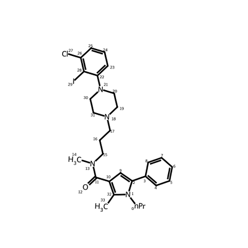 CCCn1c(-c2ccccc2)cc(C(=O)N(C)CCCN2CCN(c3cccc(Cl)c3I)CC2)c1C